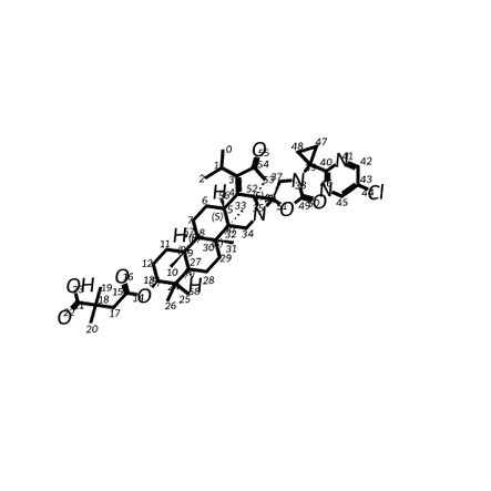 CC(C)C1=C2[C@H]3CC[C@@H]4[C@@]5(C)CC[C@H](OC(=O)CC(C)(C)C(=O)O)C(C)(C)[C@@H]5CC[C@@]4(C)[C@]3(C)CN3[C@]4(CN(C5(c6ncc(Cl)cn6)CC5)C(=O)O4)[C@]23CC1=O